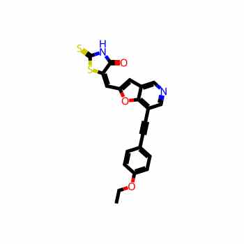 CCOc1ccc(C#Cc2cncc3cc(C=C4SC(=S)NC4=O)oc23)cc1